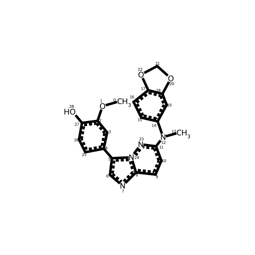 COc1cc(-c2cnc3ccc(N(C)c4ccc5c(c4)OCO5)nn23)ccc1O